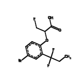 CCC(F)(F)c1cc(Br)ccc1OC(CF)C(=O)O